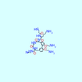 CNCCC(=O)N[C@@H](CCCCN)C(=O)N(C)[C@@H]1C(=O)N[C@@H](C)C(=O)N[C@H](C(=O)NCC#N)Cc2ccc(OCCN)c(c2)-c2cc1ccc2OCCN